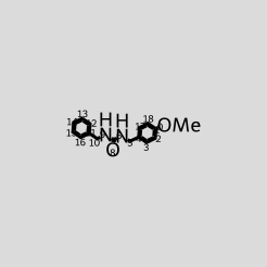 COc1ccc(CNC(=O)NCc2ccccc2)cc1